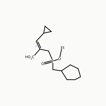 CCOP(=O)(C/C(=C\C1CC1)C(=O)O)CC1CCCCC1